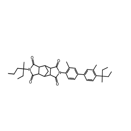 CCCC(C)(CC)N1C(=O)C2C3CC(C4C(=O)N(c5ccc(-c6ccc(C(C)(CC)CC)c(C)c6)cc5C)C(=O)C34)C2C1=O